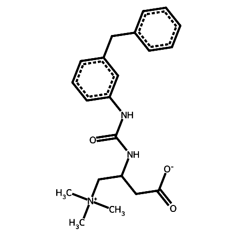 C[N+](C)(C)CC(CC(=O)[O-])NC(=O)Nc1cccc(Cc2ccccc2)c1